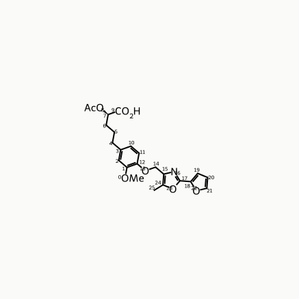 COc1cc(CCC[C@@H](OC(C)=O)C(=O)O)ccc1OCc1nc(-c2ccco2)oc1C